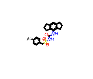 CC(=O)c1ccc(CS(=O)(=O)NC(=O)Nc2c3c(cc4c2CCC4)CCC3)cc1